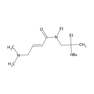 CCCCC(C)(CC)CN(CC)C(=O)/C=C/CN(C)C